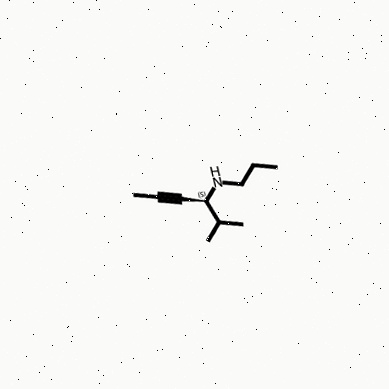 CC#C[C@@H](NCCC)C(C)C